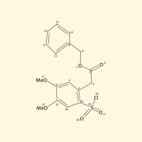 COc1cc(CC(=O)OCc2ccccc2)c(S(=O)(=O)Cl)cc1OC